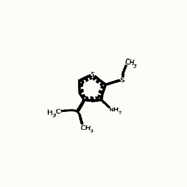 CSc1scc(C(C)C)c1N